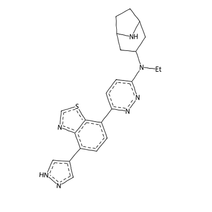 CCN(c1ccc(-c2ccc(-c3cn[nH]c3)c3ncsc23)nn1)C1CC2CCC(C1)N2